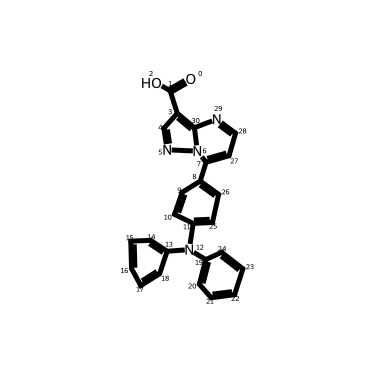 O=C(O)c1cnn2c(-c3ccc(N(c4ccccc4)c4ccccc4)cc3)ccnc12